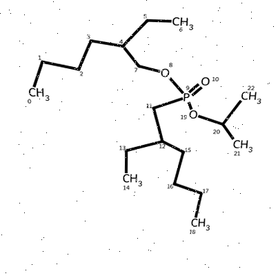 CCCCC(CC)COP(=O)(CC(CC)CCCC)OC(C)C